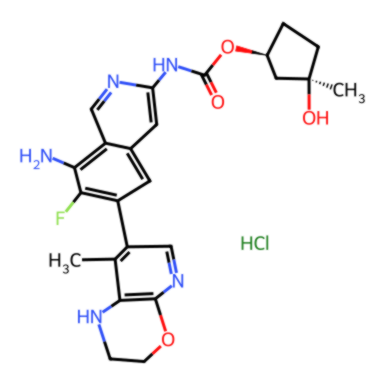 Cc1c(-c2cc3cc(NC(=O)O[C@H]4CC[C@@](C)(O)C4)ncc3c(N)c2F)cnc2c1NCCO2.Cl